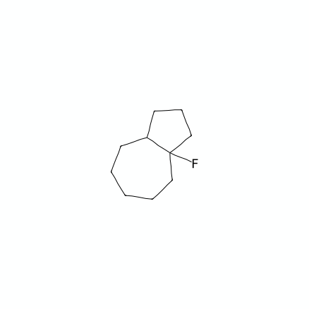 FC12CCCCCC1CCC2